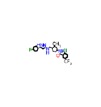 CC1CC(NC(=O)c2cc(C(F)(F)F)ccc2Cl)CCC1CNc1cc(-c2ccc(F)cc2)[nH]n1